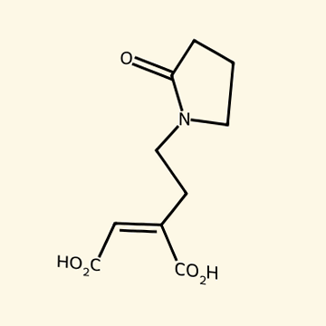 O=C(O)C=C(CCN1CCCC1=O)C(=O)O